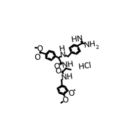 COC(=O)c1ccc(C(NCc2ccc(C(=N)N)cc2)C(=O)NC(C)C(=O)NCc2ccc(OC)c(OC)c2)cc1.Cl